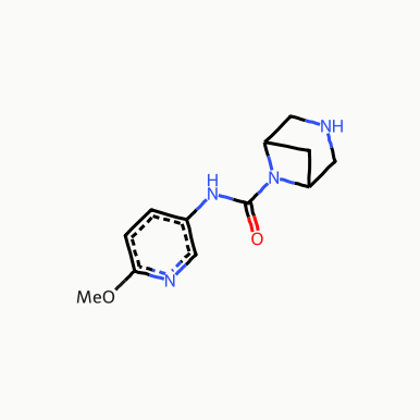 COc1ccc(NC(=O)N2C3CNCC2C3)cn1